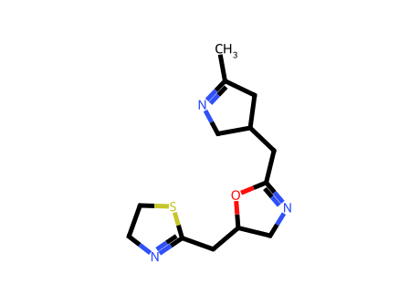 CC1=NCC(CC2=NCC(CC3=NCCS3)O2)C1